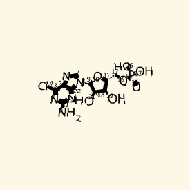 Nc1nc(Cl)c2ncn([C@@H]3O[C@H](COP(=O)(O)O)[C@@H](O)[C@H]3O)c2n1